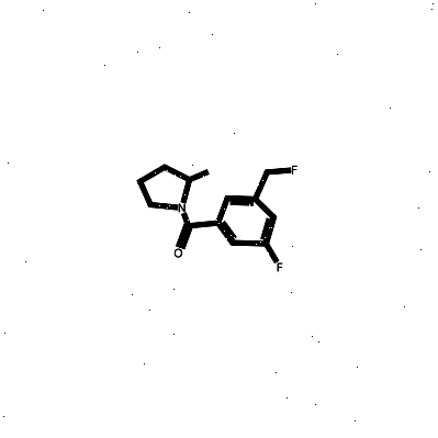 CC1CCCN1C(=O)c1cc(F)cc(CF)c1